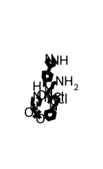 CC(C)(Oc1cccc(N2CCC[C@@H](C(=O)N(CCN)Cc3ccc(-c4cn[nH]c4)cc3)C2)c1)C(=O)N1CCNCC1.Cl.Cl